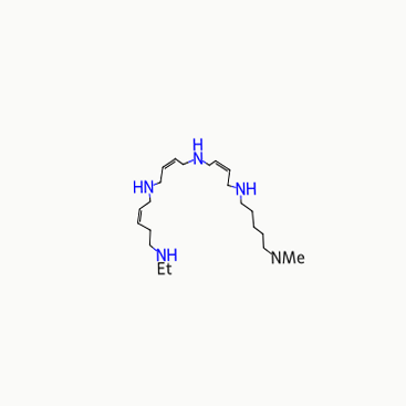 CCNCC/C=C\CNC/C=C\CNC/C=C\CNCCCCCNC